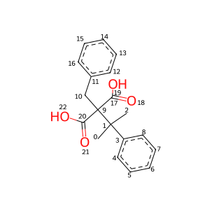 CC(C)(c1ccccc1)C(Cc1ccccc1)(C(=O)O)C(=O)O